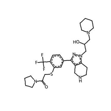 O=C(CSc1cc(-c2nn(CC(O)CN3CCCCC3)c3c2CNCC3)ccc1C(F)(F)F)N1CCCC1